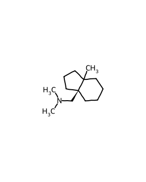 CN(C)C[C@]12CCCCC1(C)CCC2